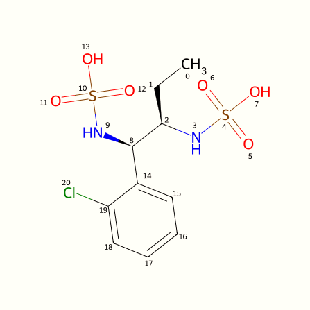 CC[C@@H](NS(=O)(=O)O)[C@H](NS(=O)(=O)O)c1ccccc1Cl